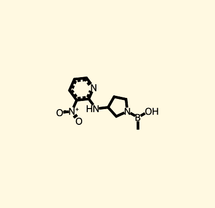 CB(O)N1CCC(Nc2ncccc2[N+](=O)[O-])C1